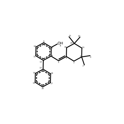 CC1(C)CC(=Cc2c(O)cccc2-c2ccccc2)CC(C)(C)C1